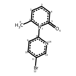 Cc1cccc(=O)n1-c1ccc(Br)cn1